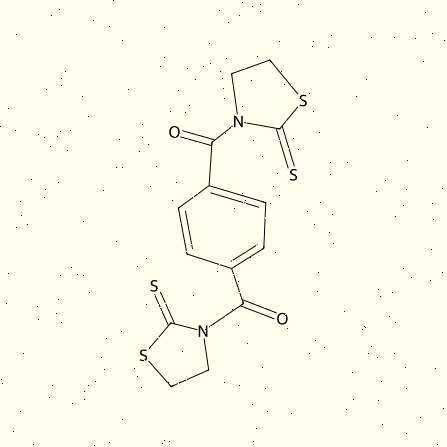 O=C(c1ccc(C(=O)N2CCSC2=S)cc1)N1CCSC1=S